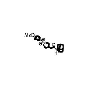 COc1ccc(S(=O)(=O)N2CCC(CC(=O)NC34CC5CC(CC(C5)C3)C4)CC2)cc1